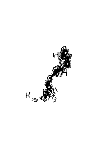 CC(C)(C)OC(=O)NC1CCN(CCOCCNC(=O)COc2cccc3c2C(=O)N(C2CCC(=O)NC2=O)C3=O)CC1